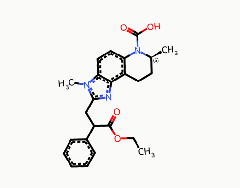 CCOC(=O)C(Cc1nc2c3c(ccc2n1C)N(C(=O)O)[C@@H](C)CC3)c1ccccc1